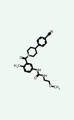 COCCNC(=O)Nc1ccc(C)c(C(=O)N2CCC(c3ccc(C#N)cc3)CC2)c1